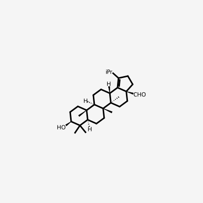 CC(C)C1=C2[C@H]3CC[C@@H]4[C@@]5(C)CC[C@H](O)C(C)(C)[C@@H]5CC[C@@]4(C)[C@]3(C)CC[C@@]2(C=O)CC1